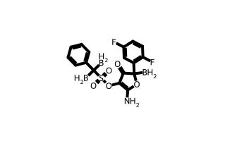 BC1(c2cc(F)ccc2F)OC(N)=C(OS(=O)(=O)C(B)(B)c2ccccc2)C1=O